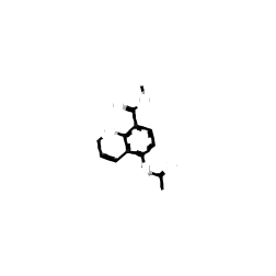 COC(=O)c1ccc(NC(C)=O)c2c1OCC=C2